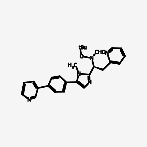 Cn1c(-c2ccc(-c3cccnc3)cc2)cnc1[C@H](Cc1ccccn1)N(C=O)OC(C)(C)C